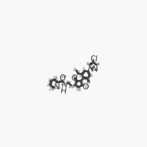 CCc1cc(-n2cc(Cl)cn2)cc(C)c1C1C(=O)C[C@H](CCNC(=O)c2ccccn2)C1=O